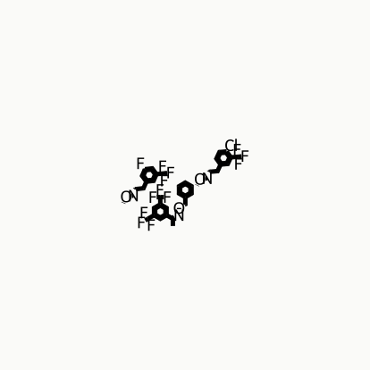 CC(=NOCc1ccccc1)c1cc(C(F)(F)F)cc(C(F)(F)F)c1.CON=CCc1cc(F)cc(C(F)(F)F)c1.CON=CCc1ccc(Cl)c(C(F)(F)F)c1